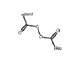 CCCCCC(=O)OOC(=O)CCCC